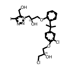 CC(C)(c1ccc(OC[C@@H](O)CCl)c(Cl)c1)c1ccccc1OC[C@@H](O)Cn1nnc(I)c1CO